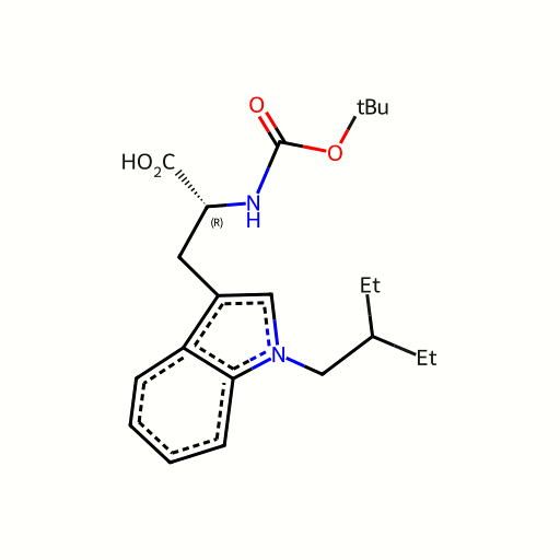 CCC(CC)Cn1cc(C[C@@H](NC(=O)OC(C)(C)C)C(=O)O)c2ccccc21